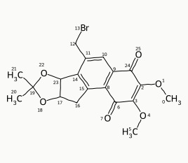 COC1=C(OC)C(=O)c2c(cc(CBr)c3c2CC2OC(C)(C)OC32)C1=O